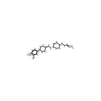 C=CCC[C@H]1CC[C@H](CCC2CCC(c3ccc(Cl)c(F)c3)CC2)CC1